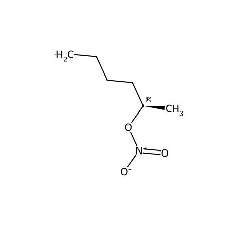 [CH2]CCC[C@@H](C)O[N+](=O)[O-]